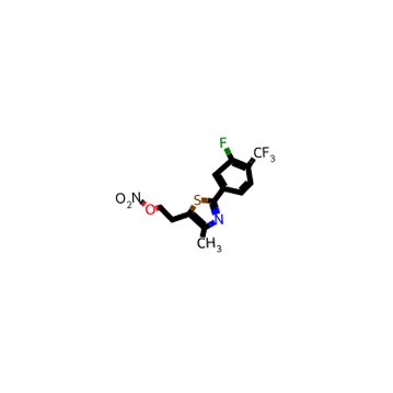 Cc1nc(-c2ccc(C(F)(F)F)c(F)c2)sc1CCO[N+](=O)[O-]